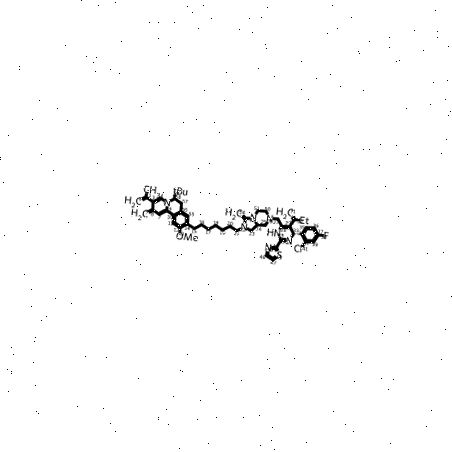 C=C(C)C1=CN2C(=CC1=C)c1cc(OC)c(CCCCCCCN3CC4CN(CC5=C(C(=C)CC)[C@H](c6ccc(F)cc6Cl)N=C(c6nccs6)N5)CCN4C3=C)cc1CC2C(C)(C)C